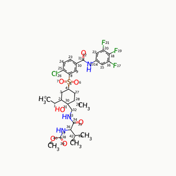 CCC1C[C@@H](S(=O)(=O)c2cc(C(=O)Nc3cc(F)c(F)c(F)c3)ccc2Cl)C[C@H](C)[C@@]1(O)CNC(=O)C(NC(=O)OC)C(C)C